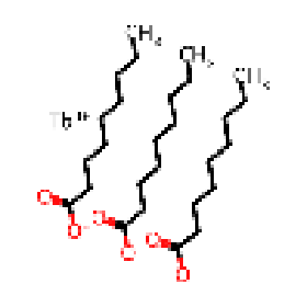 CCCCCCCCC(=O)[O-].CCCCCCCCC(=O)[O-].CCCCCCCCC(=O)[O-].[Tb+3]